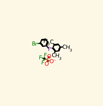 Cc1cc(C)c([I+]c2cccc(Br)c2)c(C)c1.O=S(=O)([O-])C(F)(F)F